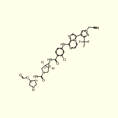 N#CCn1cc(-c2cnc3c(Nc4ccc(C(=O)NC5[C@H]6CN(C(=O)N[C@@H]7CNC[C@H]7OC=O)C[C@@H]56)c(Cl)c4)nccn23)c(C(F)(F)F)n1